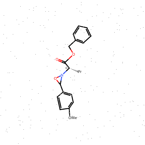 COc1ccc(C2ON2[C@H](C(=O)OCc2ccccc2)C(C)C)cc1